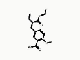 CCOC(=O)C(CC)Cc1ccc(OC)c(C(=O)O)c1